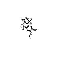 CCOc1cc2c(cc1Br)C(C(C)(C)C)=C(C(C)=O)CC2(C)C